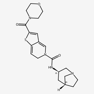 O=C(N[C@@H]1C[C@H]2CCN(C2)C1)N1C=c2cc(C(=O)N3CCOCC3)sc2=CC1